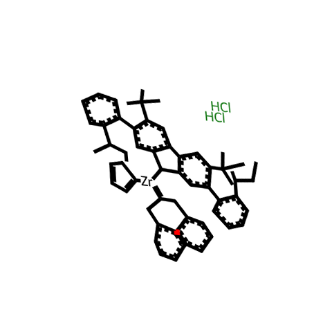 CCC(C)c1ccccc1-c1cc2c(cc1C(C)(C)C)-c1cc(C(C)(C)C)c(-c3ccccc3C(C)CC)cc1[CH]2[Zr]([C]1=CC=CC1)=[C](Cc1ccccc1)Cc1ccccc1.Cl.Cl